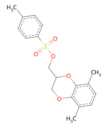 Cc1ccc(S(=O)(=O)OCC2COc3c(C)ccc(C)c3O2)cc1